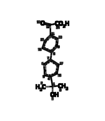 CC(C)(O)c1ccc(-c2ccc(C(=O)C(=O)O)cc2)cc1